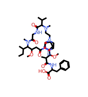 CCC(C)C(C(CC(=O)N1CCCC1C(OC)C(C)C(=O)NC(Cc1ccccc1)C(=O)O)OC)N(C)C(=O)CNC(=O)C(C(C)C)N(C)CCN1CCNCC1